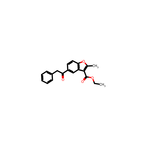 CCOC(=O)c1c(C)oc2ccc(C(=O)Cc3ccccc3)cc12